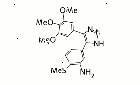 COc1cc(-c2nn[nH]c2-c2ccc(SC)c(N)c2)cc(OC)c1OC